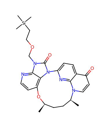 C[C@@H]1CC[C@H](C)n2ccc(=O)c3ccc(nc32)-n2c(=O)n(COCC[Si](C)(C)C)c3nccc(c32)O1